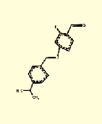 CC(C)c1ccc(COc2ccc(C=O)c(F)c2)cc1